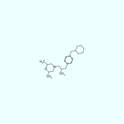 CC(Cc1ccc(CC2CCCCC2)cc1)CN1CC(C)OC(C)C1